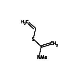 C=CSC(=C)NC